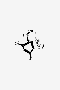 NNc1ccc(Cl)cc1Cl.O=S(=O)(O)O